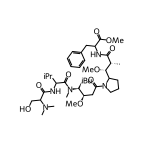 CC[C@H](C)[C@@H]([C@@H](CC(=O)N1CCCC1[C@H](OC)[C@@H](C)C(=O)NC(Cc1ccccc1)C(=O)OC)OC)N(C)C(=O)C(NC(=O)C(CO)N(C)C)C(C)C